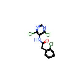 O=C(Cc1ccccc1Cl)Nc1c(Cl)ncnc1Cl